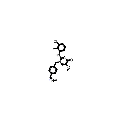 C/N=C\c1ccc(Cn2cc(OC)c(=O)nc2Nc2cccc(Cl)c2C)cc1